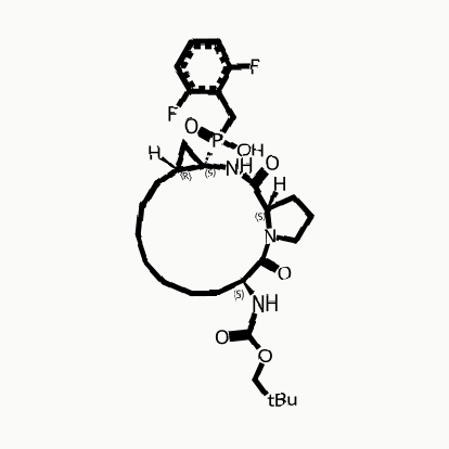 CC(C)(C)COC(=O)N[C@H]1CCCCCCC[C@@H]2C[C@@]2(P(=O)(O)Cc2c(F)cccc2F)NC(=O)[C@@H]2CCCN2C1=O